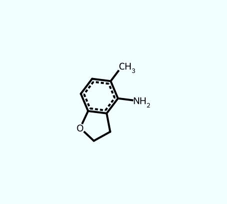 Cc1ccc2c(c1N)CCO2